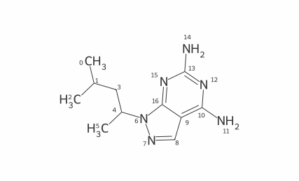 CC(C)CC(C)n1ncc2c(N)nc(N)nc21